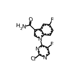 NC(=O)c1cn(-c2nc(Cl)ncc2F)c2ccc(F)cc12